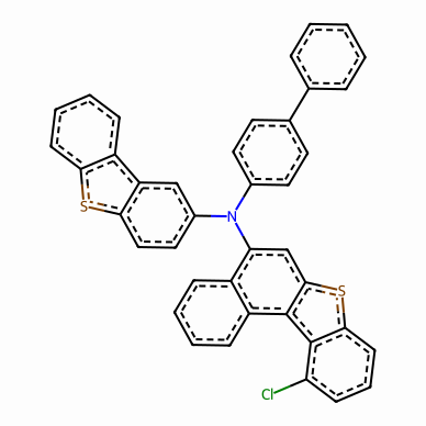 Clc1cccc2sc3cc(N(c4ccc(-c5ccccc5)cc4)c4ccc5sc6ccccc6c5c4)c4ccccc4c3c12